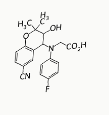 CC1(C)Oc2ccc(C#N)cc2C(N(CC(=O)O)c2ccc(F)cc2)C1O